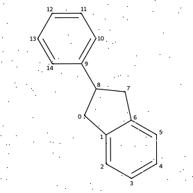 [CH]1c2ccccc2CC1c1ccccc1